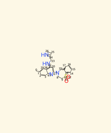 Cc1ccc2nc(N3CCS(=O)(=O)c4ccccc4C3)cc(NCC3CCN3)c2c1